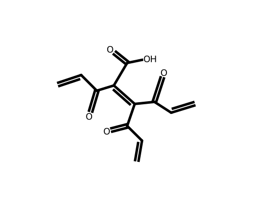 C=CC(=O)C(C(=O)O)=C(C(=O)C=C)C(=O)C=C